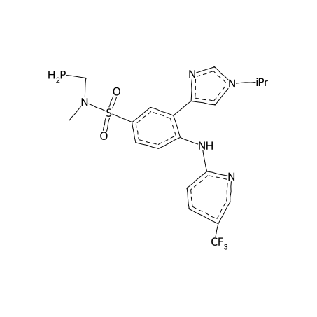 CC(C)n1cnc(-c2cc(S(=O)(=O)N(C)CP)ccc2Nc2ccc(C(F)(F)F)cn2)c1